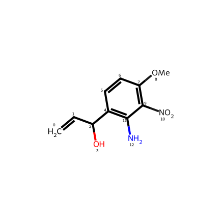 C=CC(O)c1ccc(OC)c([N+](=O)[O-])c1N